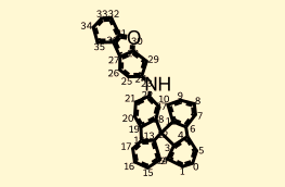 c1ccc2c(c1)-c1ccccc1C21c2ccccc2-c2ccc(Nc3ccc4c(c3)oc3ccccc34)cc21